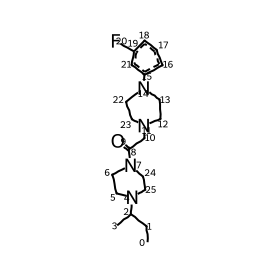 CCC(C)N1CCN(C(=O)CN2CCN(c3cccc(F)c3)CC2)CC1